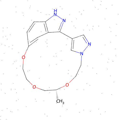 C[C@@H]1COCCOc2ccc3[nH]nc(c3c2)-c2cnn(c2)CCO1